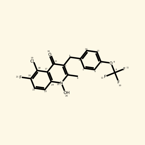 Cc1c(Cc2ccc(OC(F)(F)F)cc2)c(=O)c2c(Cl)c(F)ccc2n1O